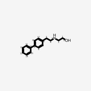 OCCNCCc1ccc(-c2ccccc2)cc1